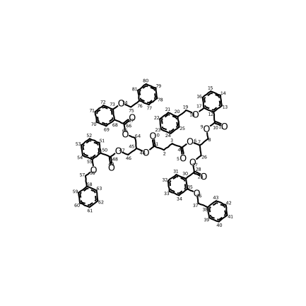 O=C(CCC(=O)OC(COC(=O)c1ccccc1OCc1ccccc1)COC(=O)c1ccccc1OCc1ccccc1)OC(COC(=O)c1ccccc1OCc1ccccc1)COC(=O)c1ccccc1OCc1ccccc1